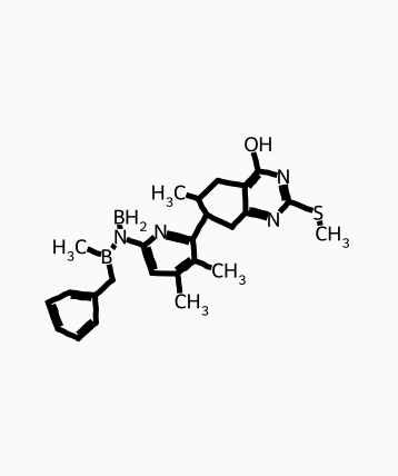 BN(B(C)Cc1ccccc1)c1cc(C)c(C)c(C2Cc3nc(SC)nc(O)c3CC2C)n1